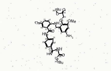 COc1cc(N)cc(CNc2ccc(Cl)cc2C(=O)Nc2ccc(C(=N)NC(=O)OC(C)(C)C)cc2)c1OCC(=O)OC(C)(C)C